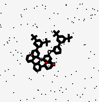 CC(C)(C)c1cc(-c2cccc(Oc3cc(Cl)cc(N(c4cccc(-c5cc(C(C)(C)C)cc(C(C)(C)C)c5)c4)c4c(-c5ccccc5)cccc4-c4ccccc4)c3)c2)cc(C(C)(C)C)c1